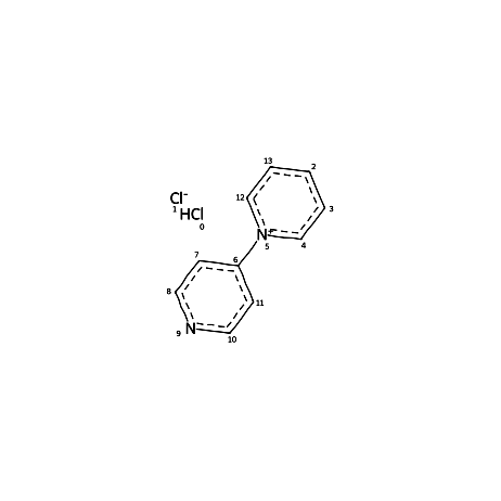 Cl.[Cl-].c1cc[n+](-c2ccncc2)cc1